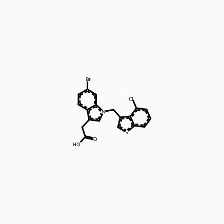 O=C(O)Cc1cn(Cc2csc3cccc(Cl)c23)c2cc(Br)ccc12